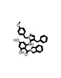 COc1ccc(Cn2ncc(Cc3ccccc3)c2Nc2cc(O)cc(O)c2C(=O)N2Cc3ccccc3C2)cc1